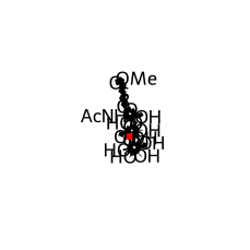 COC(=O)CCSCCO[C@H]1O[C@H](CO)[C@@H](O[C@@H]2O[C@H](CO)[C@H](O[C@@H]3O[C@H](CO)[C@H](O)[C@H](O)[C@H]3O)[C@H](O)[C@H]2O)[C@H](O)[C@@H]1NC(C)=O